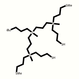 CCC(C)CCCS(C)(CCCS(C)(CCCS)CCCSC)CCCS(C)(CCCS)CCCSC